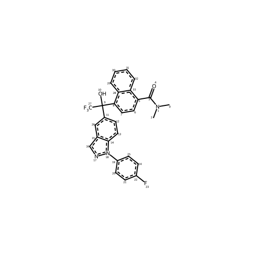 CN(C)C(=O)c1ccc(C(O)(c2ccc3c(cnn3-c3ccc(F)cc3)c2)C(F)(F)F)c2ccccc12